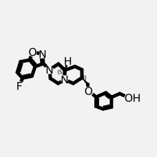 OCc1cccc(OC[C@@H]2CC[C@H]3CN(c4noc5ccc(F)cc45)CCN3C2)c1